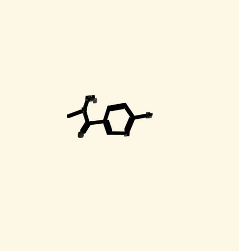 CN(N)C(=O)c1ccc(Br)nc1